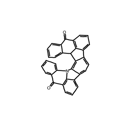 O=C1c2ccccc2C2c3c1cccc3-c1ccc3c4cccc5c(=O)c6ccccc6n(c3c12)c54